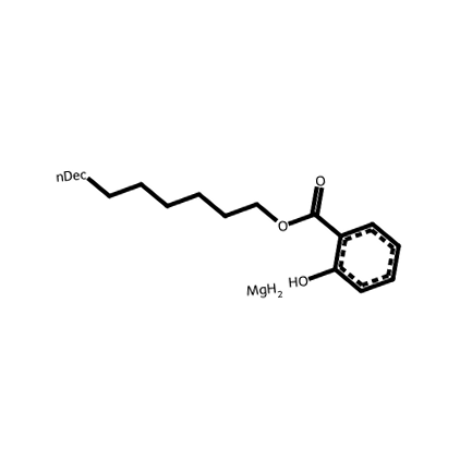 CCCCCCCCCCCCCCCCOC(=O)c1ccccc1O.[MgH2]